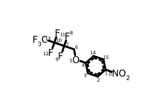 O=[N+]([O-])c1ccc(OCC(F)(F)C(F)(F)C(F)(F)F)cc1